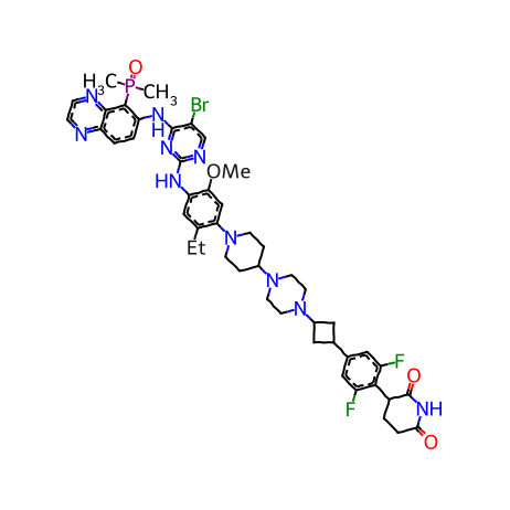 CCc1cc(Nc2ncc(Br)c(Nc3ccc4nccnc4c3P(C)(C)=O)n2)c(OC)cc1N1CCC(N2CCN(C3CC(c4cc(F)c(C5CCC(=O)NC5=O)c(F)c4)C3)CC2)CC1